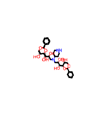 O[C@@H]([C@@H]1OC(c2ccccc2)OC[C@H]1O)[C@@H](O)CN(C[C@H](O)[C@@H](O)[C@@H]1OC(c2ccccc2)OC[C@H]1O)C1CCNCC1